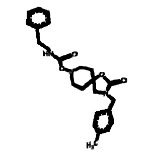 Cc1ccc(CN2CC3(CCN(OC(=O)NCCc4ccccc4)CC3)OC2=O)cc1